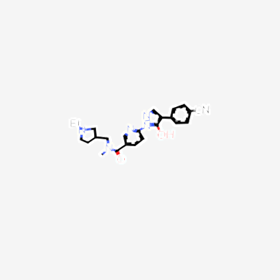 CCN1CCC(CN(C)C(=O)c2ccc(-n3ncc(-c4ccc(C#N)cc4)c3O)nc2)C1